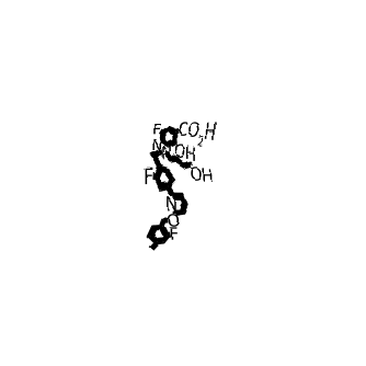 Cc1ccc(COc2cccc(-c3ccc(Cc4nc5c(F)cc(C(=O)O)cc5n4C[C@@H](O)CCO)c(F)c3)n2)c(F)c1